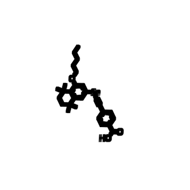 CCCCCOc1cc([Se]C#Cc2ccc(C(=O)O)cc2)cc2c1C(C)(C)CCC2(C)C